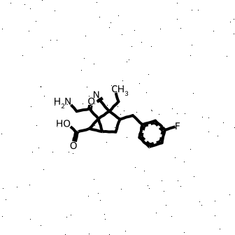 CCC1(C#N)C(Cc2cccc(F)c2)CC2C(C(=O)O)C21C(=O)CN